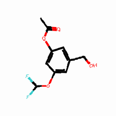 CC(=O)Oc1cc([CH]O)cc(OC(F)F)c1